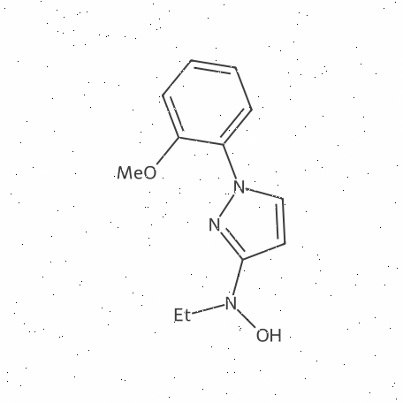 CCN(O)c1ccn(-c2ccccc2OC)n1